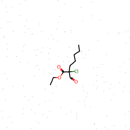 CCCCCC(Cl)(C=O)C(=O)OCC